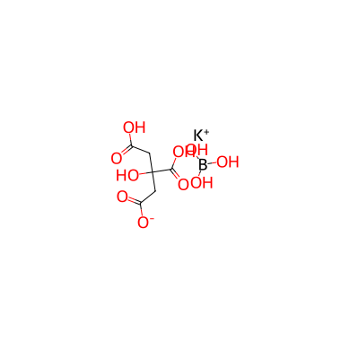 O=C([O-])CC(O)(CC(=O)O)C(=O)O.OB(O)O.[K+]